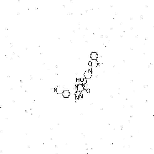 C[C@H](CC(=O)N1CCC(O)(Cn2cnc3c(-c4ccc(CN(C)C)cc4)n(C)nc3c2=O)CC1)c1ccccc1